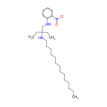 CCCCCCCCCCCCCCNC(CC)(CC)CNc1ccccc1[N+](=O)[O-]